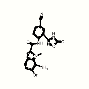 Cn1c(C(=O)Nc2ccc(C#N)cc2-c2noc(=O)[nH]2)cc2ccc(Br)c(N)c21